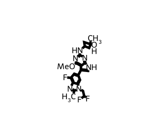 COc1nc(NC2CC(C)(O)C2)nc2[nH]cc(-c3cc(F)c4nc(C)n(CC(F)F)c4c3)c12